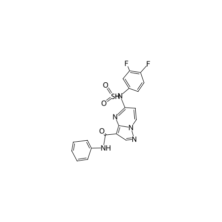 O=C(Nc1ccccc1)c1cnn2ccc(N(c3ccc(F)c(F)c3)[SH](=O)=O)nc12